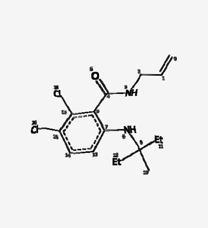 C=CCNC(=O)c1c(NC(C)(CC)CC)ccc(Cl)c1Cl